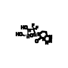 O=c1n([C@@H]2O[C@H](CO)[C@@H](O)C2(F)F)ccc2nnnn12